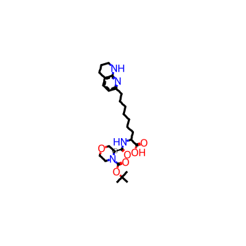 CC(C)(C)OC(=O)N1CCOC[C@H]1C(=O)NC(CCCCCCCc1ccc2c(n1)NCCC2)C(=O)O